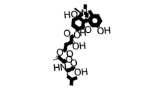 Cc1ccc(O)c2c1[C@]13CCN(C)[C@H](C)[C@]1(O)CC=C(OC(=O)[C@@H](O)CC(=O)O[C@@H](C)C(=O)N[C@@H](CC(C)C)C(=O)O)[C@@H]3O2